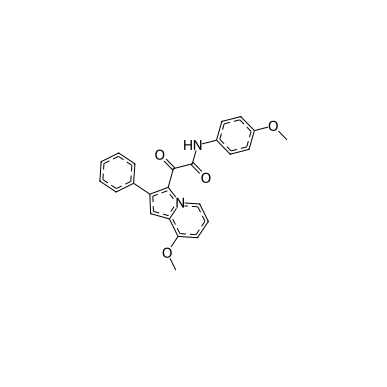 COc1ccc(NC(=O)C(=O)c2c(-c3ccccc3)cc3c(OC)cccn23)cc1